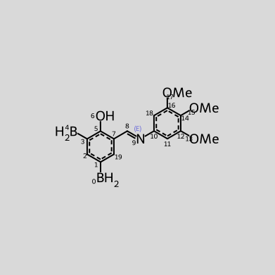 Bc1cc(B)c(O)c(/C=N/c2cc(OC)c(OC)c(OC)c2)c1